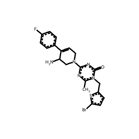 Cc1nc(N2CC=C(c3ccc(F)cc3)C(N)C2)nc(=O)n1Cc1ccc(Br)s1